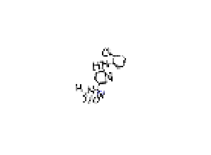 N/C(=N\O)c1ccc(Nc2ccccc2Cl)nc1